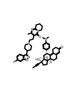 CC#C[C@]1(O)CC[C@H]2[C@@H]3CCC4=CC(=O)CCC4=C3[C@@H](c3ccc(N(C)C)cc3)C[C@@]21C.Cc1nc2n(c(=O)c1CCN1CCC(c3noc4cc(F)ccc34)CC1)CCCC2